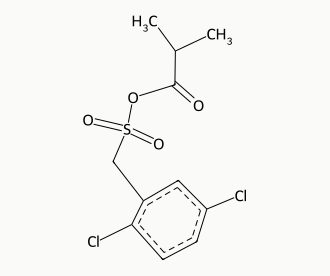 CC(C)C(=O)OS(=O)(=O)Cc1cc(Cl)ccc1Cl